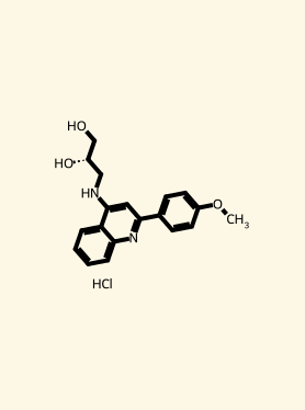 COc1ccc(-c2cc(NC[C@H](O)CO)c3ccccc3n2)cc1.Cl